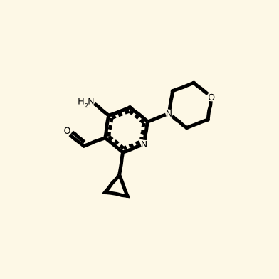 Nc1cc(N2CCOCC2)nc(C2CC2)c1C=O